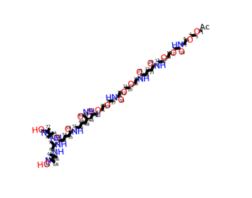 CC(=O)COCCOCCNC(=O)COCCOCCNC(=O)CCCC(=O)NCCOCCOCC(=O)NCCOCCOCC(=O)C[C@@H](CCCCNC(=O)CCCC(=O)NC(CNC(C)(C)/C(C)=N/O)CNC(C)(C)/C(C)=N/O)C(N)=O